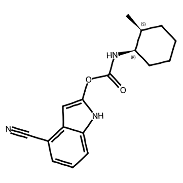 C[C@H]1CCCC[C@H]1NC(=O)Oc1cc2c(C#N)cccc2[nH]1